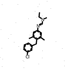 CCN(C)C=Nc1cc(C)c(Cc2cccc(Cl)c2)c(C)c1